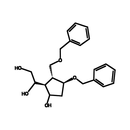 OCC(O)[C@@H]1C(O)C[C@H](OCc2ccccc2)[C@H]1COCc1ccccc1